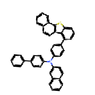 c1ccc(-c2ccc(N(c3ccc(-c4cccc5sc6c7ccccc7ccc6c45)cc3)c3ccc4ccccc4c3)cc2)cc1